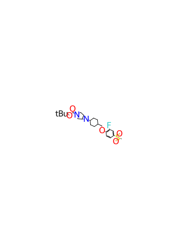 CC(C)(C)OC(=O)N1CC2C(C1)N2C1CCC(COc2ccc(S(C)(=O)=O)cc2F)CC1